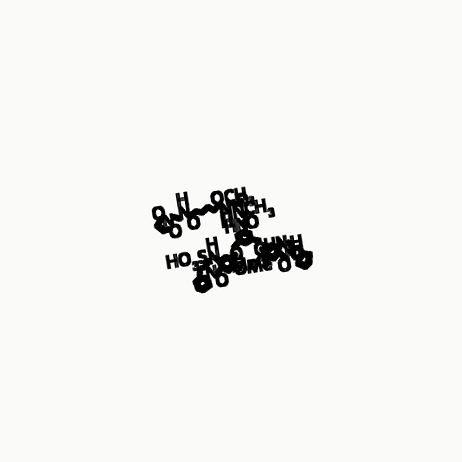 COc1cc2c(cc1OCc1cc(COc3cc4c(cc3OC)C(=O)N3c5ccccc5C[C@H]3CN4)cc(NC(=O)C(C)NC(=O)C(C)NC(=O)CCCCC(=O)NCCN3C(=O)C=CC3=O)c1)NC(S(=O)(=O)O)C1Cc3ccccc3N1C2=O